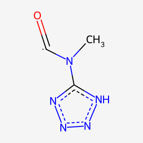 CN([C]=O)c1nnn[nH]1